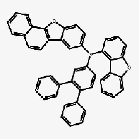 c1ccc(-c2ccc(N(c3ccc4oc5c6ccccc6ccc5c4c3)c3cccc4oc5ccccc5c34)cc2-c2ccccc2)cc1